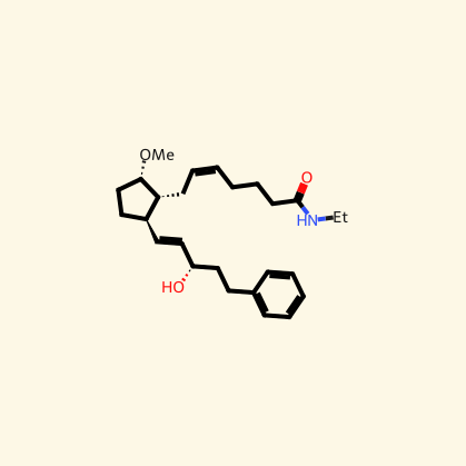 CCNC(=O)CCC/C=C\C[C@H]1[C@@H](OC)CC[C@@H]1/C=C/[C@@H](O)CCc1ccccc1